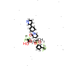 CC(C)([C@H]1CCN(c2ccc(-c3cccnc3)cc2)C(=O)C1)S(=O)(=O)c1cccc(C(F)(F)F)c1.O=C(O)C(F)(F)F